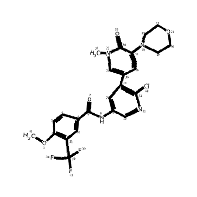 COc1ccc(C(=O)Nc2cnc(Cl)c(-c3cc(N4CCOCC4)c(=O)n(C)c3)c2)cc1C(F)(F)F